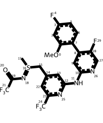 COc1cc(F)ccc1-c1cc(Nc2cc(CS(C)=NC(=O)C(F)(F)F)cc(C(F)(F)F)n2)ncc1F